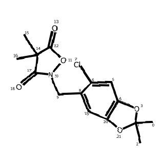 CC1(C)Oc2cc(Cl)c(CN3OC(=O)C(C)(C)C3=O)cc2O1